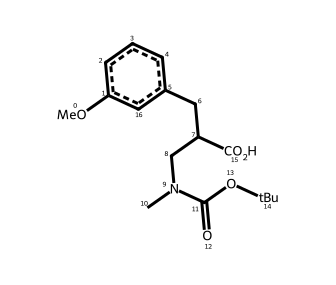 COc1cccc(CC(CN(C)C(=O)OC(C)(C)C)C(=O)O)c1